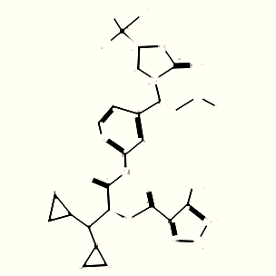 COC[C@H](c1ccnc(NC(=O)[C@@H](NC(=O)c2nonc2C)C(C2CC2)C2CC2)c1)N1C[C@@H](C(F)(F)F)NC1=O